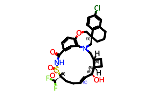 O=C1NS(=O)(=O)[C@@H](C(F)F)CC/C=C/[C@H](O)[C@@H]2CC[C@H]2CN2C[C@@]3(CCCc4cc(Cl)ccc43)COc3ccc1cc32